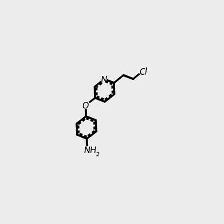 Nc1ccc(Oc2ccc(CCCl)nc2)cc1